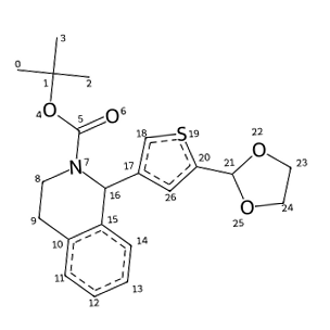 CC(C)(C)OC(=O)N1CCc2ccccc2C1c1csc(C2OCCO2)c1